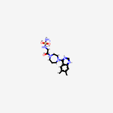 Cc1cc2ncnc(N3CCCN(C(=O)CNS(N)(=O)=O)CC3)c2cc1C